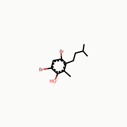 Cc1c(O)c(Br)cc(Br)c1CCC(C)C